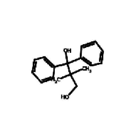 CC(C)(CO)C(O)(c1ccccc1)c1ccccc1